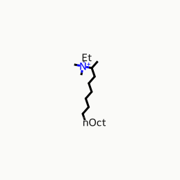 CCCCCCCCCCCCCCC(C)[N+](C)(C)CC